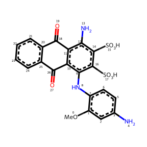 COc1cc(N)ccc1Nc1c2c(c(N)c(S(=O)(=O)O)c1S(=O)(=O)O)C(=O)c1ccccc1C2=O